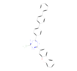 Clc1nc(-c2ccc(-c3ccc(-c4ccccc4)cc3)cc2)nc(-c2ccc3c(c2)oc2ccccc23)n1